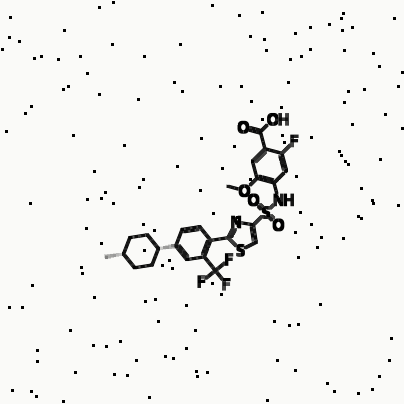 COc1cc(C(=O)O)c(F)cc1NS(=O)(=O)c1csc(-c2ccc([C@H]3CC[C@@H](C)CC3)cc2C(F)(F)F)n1